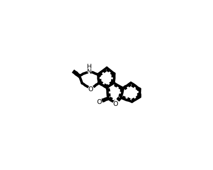 C=C1COc2c(ccc3c2c(=O)oc2ccccc23)N1